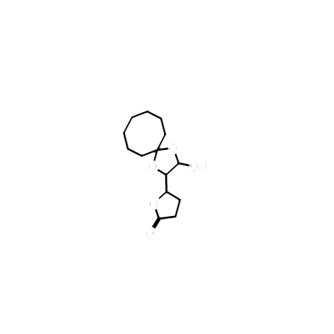 O=C1CCC(C2OC3(CCCCCCC3)OC2O)O1